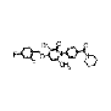 Cc1cc(OCc2ccc(F)cc2F)c(Br)c(=O)n1-c1ccc(C(=O)N2CCCCC2)cc1